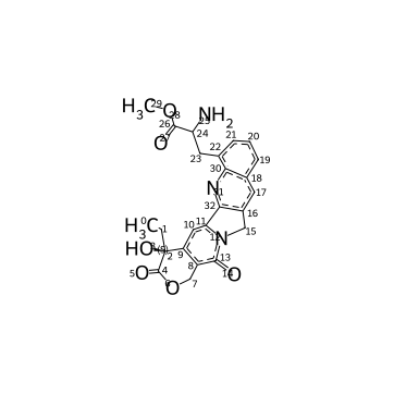 CC[C@@]1(O)C(=O)OCc2c1cc1n(c2=O)Cc2cc3cccc(CC(N)C(=O)OC)c3nc2-1